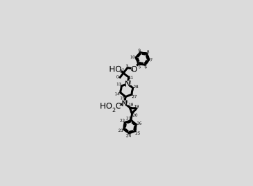 CC(O)(COc1ccccc1)CN1CCC(N(C(=O)O)C2CC2c2ccccc2)CC1